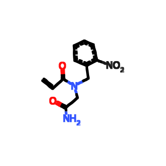 C=CC(=O)N(CC(N)=O)Cc1ccccc1[N+](=O)[O-]